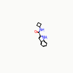 O=C(NC1CCC1)c1cc2ccccc2[nH]1